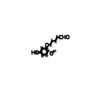 C=O.O=CCCCCOc1cccc(O)c1